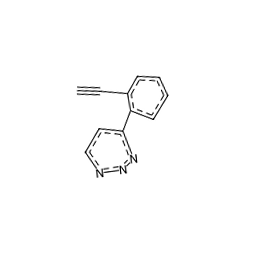 C#Cc1ccccc1-c1ccnnn1